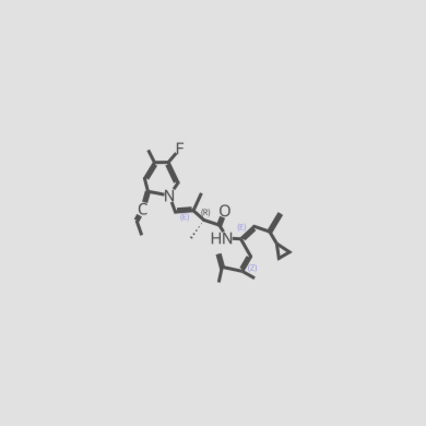 C=C(C)/C(C)=C\C(=C/C(=C)C1CC1)NC(=O)[C@H](C)/C(C)=C/N1C=C(F)C(C)=CC1=C=CC